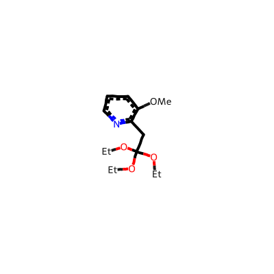 CCOC(Cc1ncccc1OC)(OCC)OCC